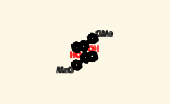 COc1ccc(-c2cc3ccccc3c(-c3c(O)c(-c4ccc(OC)cc4)cc4ccccc34)c2O)cc1